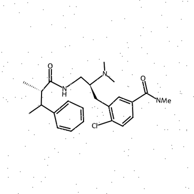 CNC(=O)c1ccc(Cl)c(C[C@@H](CNC(=O)[C@@H](C)C(C)c2ccccc2)N(C)C)c1